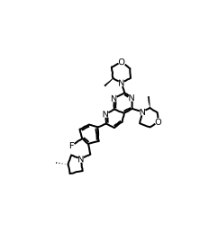 C[C@H]1CCN(Cc2cc(-c3ccc4c(N5CCOC[C@@H]5C)nc(N5CCOC[C@@H]5C)nc4n3)ccc2F)C1